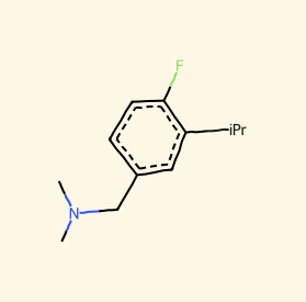 CC(C)c1cc(CN(C)C)ccc1F